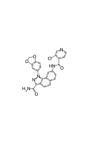 NC(=O)c1nn(-c2ccc3c(c2)OCO3)c2c1ccc1ccc(NC(=O)c3ccncc3Cl)cc12